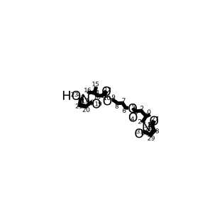 CC(CC(=O)OCCCCOC(=O)CC(C)CN1C(=O)C=CC1O)CN1C(=O)C=CC1=O